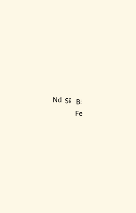 [B].[Fe].[Nd].[Si]